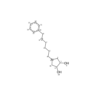 OC1CN(CCCCOCc2ccccc2)CC1O